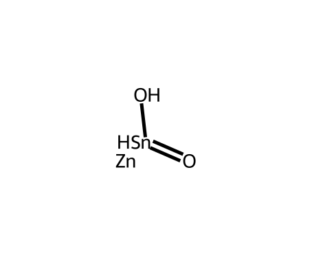 [O]=[SnH][OH].[Zn]